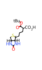 CC(C)(C)OC(=O)C(CCC[C@@H]1SC[C@@H]2NC(=O)N[C@@H]21)C(=O)O